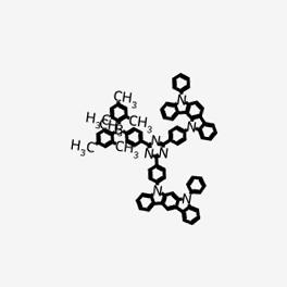 Cc1cc(C)c(B(c2ccc(-c3nc(-c4ccc(-n5c6ccccc6c6cc7c8ccccc8n(-c8ccccc8)c7cc65)cc4)nc(-c4ccc(-n5c6ccccc6c6ccc7c(c8ccccc8n7-c7ccccc7)c65)cc4)n3)cc2)c2c(C)cc(C)cc2C)c(C)c1